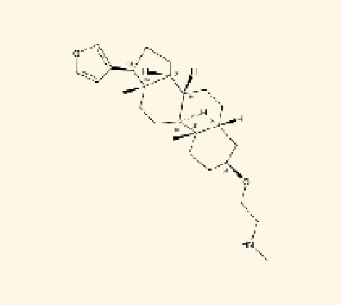 CNCCO[C@H]1CC[C@@]2(C)[C@H](CC[C@H]3[C@H]4CC[C@H](c5ccoc5)[C@@]4(C)CC[C@@H]32)C1